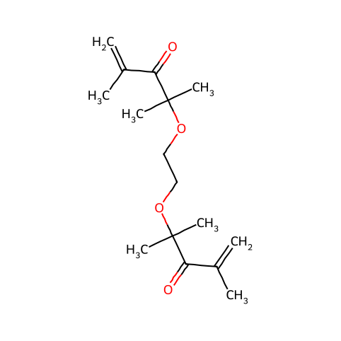 C=C(C)C(=O)C(C)(C)OCCOC(C)(C)C(=O)C(=C)C